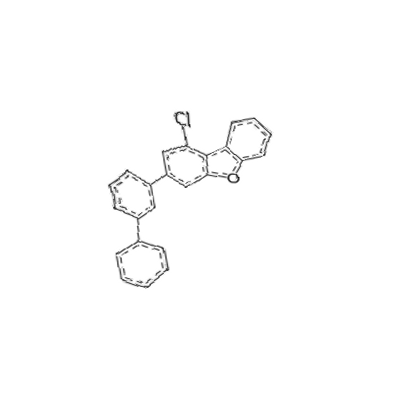 Clc1cc(-c2cccc(-c3ccccc3)c2)cc2oc3ccccc3c12